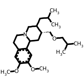 COc1cc2c(cc1OC)C1C[C@@H](COCC(C)C)C(CC(C)C)CN1CC2